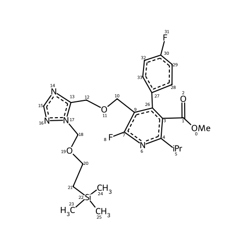 COC(=O)c1c(C(C)C)nc(F)c(COCc2ncnn2COCC[Si](C)(C)C)c1-c1ccc(F)cc1